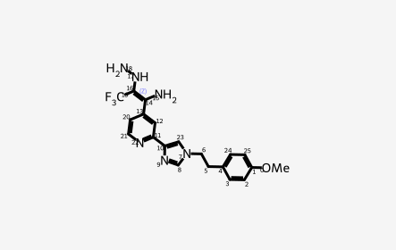 COc1ccc(CCn2cnc(-c3cc(/C(N)=C(/NN)C(F)(F)F)ccn3)c2)cc1